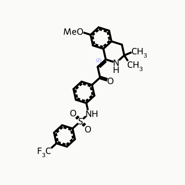 COc1ccc2c(c1)/C(=C/C(=O)c1cccc(NS(=O)(=O)c3ccc(C(F)(F)F)cc3)c1)NC(C)(C)C2